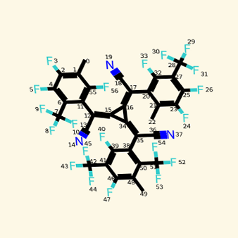 Cc1c(F)c(F)c(C(F)(F)F)c(/C(C#N)=C2\C(=C(C#N)c3c(C)c(F)c(F)c(C(F)(F)F)c3F)\C2=C(/C#N)c2c(F)c(C(F)(F)F)c(F)c(C)c2C(F)(F)F)c1F